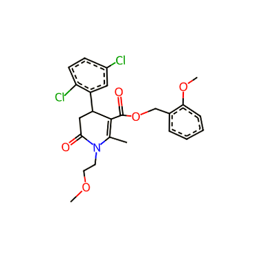 COCCN1C(=O)CC(c2cc(Cl)ccc2Cl)C(C(=O)OCc2ccccc2OC)=C1C